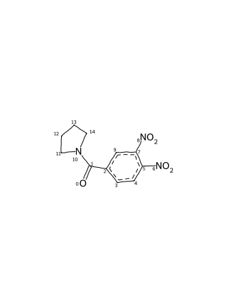 O=C(c1ccc([N+](=O)[O-])c([N+](=O)[O-])c1)N1CCCC1